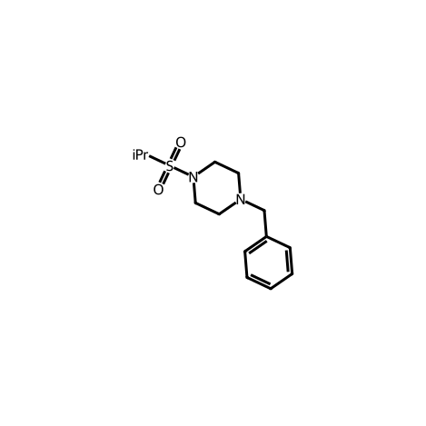 CC(C)S(=O)(=O)N1CCN(Cc2ccccc2)CC1